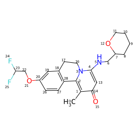 Cc1c2n(c(NCC3CCCCO3)cc1=O)CCc1cc(OCC(F)F)ccc1-2